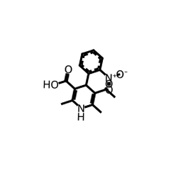 CC(=O)C1=C(C)NC(C)=C(C(=O)O)C1c1ccccc1[N+](=O)[O-]